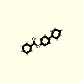 O=C(Oc1ccc(-c2ccccc2)cc1)c1c[c]ccc1